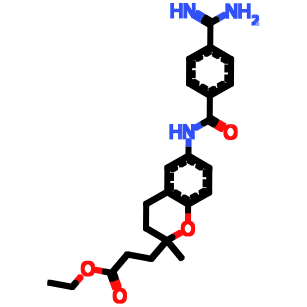 CCOC(=O)CCC1(C)CCc2cc(NC(=O)c3ccc(C(=N)N)cc3)ccc2O1